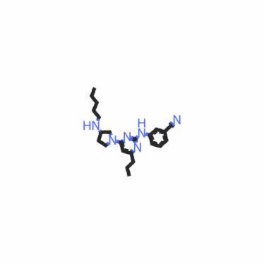 CCCCCNC1CCN(c2cc(CCC)nc(Nc3cccc(C#N)c3)n2)C1